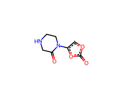 O=C1CNCCN1c1[c]oc(=O)o1